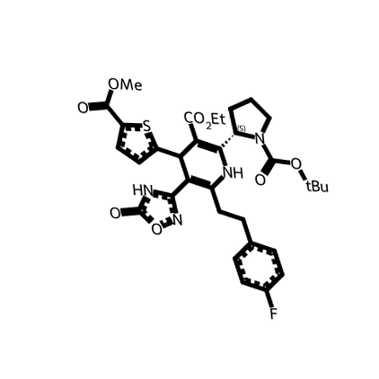 CCOC(=O)C1=C([C@@H]2CCCN2C(=O)OC(C)(C)C)NC(CCc2ccc(F)cc2)=C(c2noc(=O)[nH]2)C1c1ccc(C(=O)OC)s1